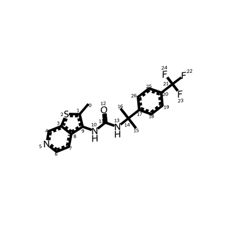 Cc1sc2cnccc2c1NC(=O)NC(C)(C)c1ccc(C(F)(F)F)cc1